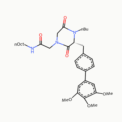 CCCCCCCCNC(=O)CN1CC(=O)N(CCCC)[C@H](Cc2ccc(-c3cc(OC)c(OC)c(OC)c3)cc2)C1=O